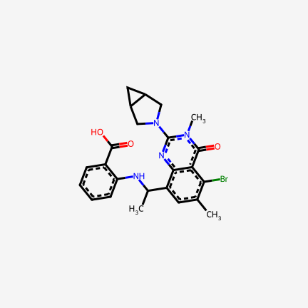 Cc1cc(C(C)Nc2ccccc2C(=O)O)c2nc(N3CC4CC4C3)n(C)c(=O)c2c1Br